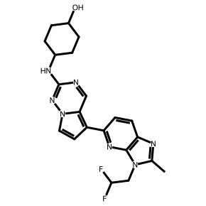 Cc1nc2ccc(-c3ccn4nc(NC5CCC(O)CC5)ncc34)nc2n1CC(F)F